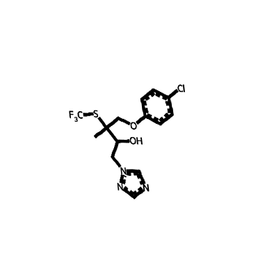 CC(COc1ccc(Cl)cc1)(SC(F)(F)F)C(O)Cn1cncn1